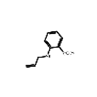 C=CC[Se]c1ccccc1C(=O)O